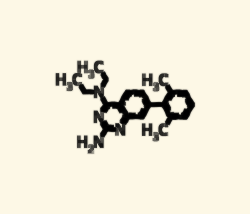 CCN(CC)c1nc(N)nc2cc(-c3c(C)cccc3C)ccc12